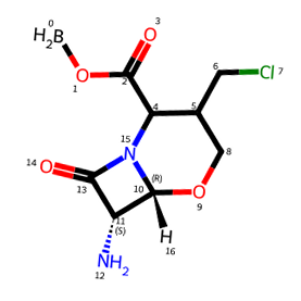 BOC(=O)C1C(CCl)CO[C@@H]2[C@H](N)C(=O)N12